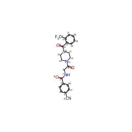 N#Cc1ccc(C(=O)NCC(=O)N2CCN(C(=O)c3ccccc3C(F)(F)F)CC2)cc1